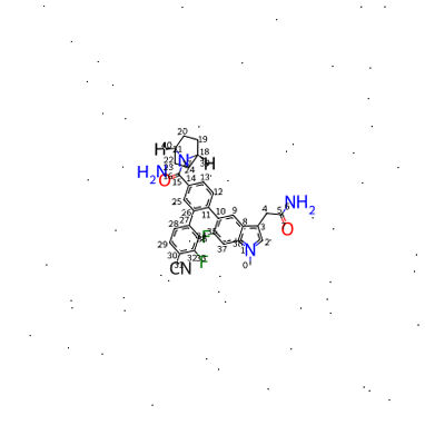 Cn1cc(CC(N)=O)c2cc(-c3ccc(C(=O)N4[C@@H]5CC[C@H]4[C@@H](N)C5)cc3-c3ccc(C#N)c(F)c3)c(F)cc21